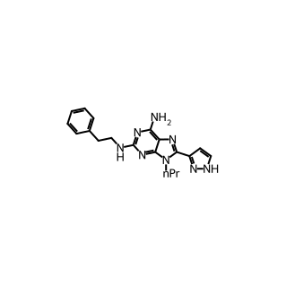 CCCn1c(-c2cc[nH]n2)nc2c(N)nc(NCCc3ccccc3)nc21